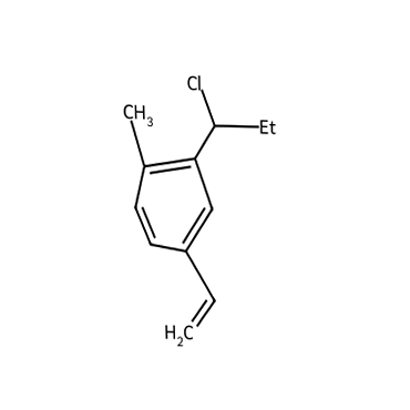 C=Cc1ccc(C)c(C(Cl)CC)c1